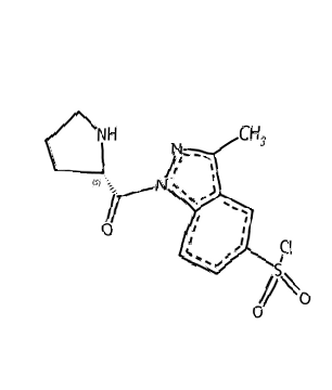 Cc1nn(C(=O)[C@@H]2CCCN2)c2ccc(S(=O)(=O)Cl)cc12